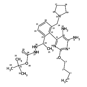 CCCCOc1nc(N)c(N)c(-c2c(CN3CCCC3)cccc2C(C)NNC(=O)OC(C)(C)C)n1